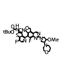 COC1CN(c2ncc3c4c(c(-c5ncc(F)c6sc(NC(=O)OC(C)(C)C)c(C#N)c56)c(F)c3n2)COC4)CC1N1CCCOCC1